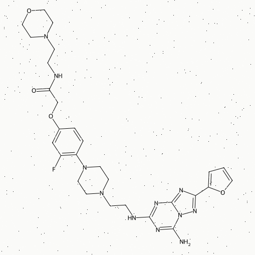 Nc1nc(NCCN2CCN(c3ccc(OCC(=O)NCCN4CCOCC4)cc3F)CC2)nc2nc(-c3ccco3)nn12